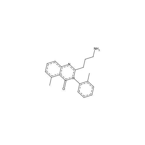 Cc1ccccc1-n1c(CCCN)nc2cccc(C)c2c1=O